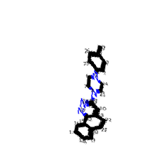 Cc1ccc(N2CCN(c3cc4c(nn3)-c3ccccc3CC4)CC2)cc1